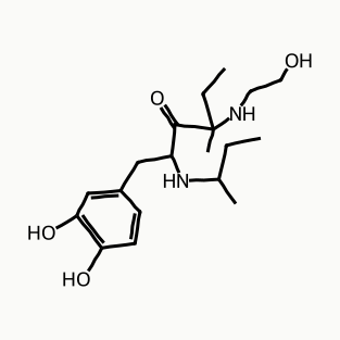 CCC(C)NC(Cc1ccc(O)c(O)c1)C(=O)C(C)(CC)NCCO